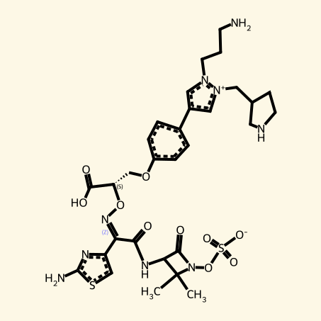 CC1(C)C(NC(=O)/C(=N\O[C@@H](COc2ccc(-c3cn(CCCN)[n+](CC4CCNC4)c3)cc2)C(=O)O)c2csc(N)n2)C(=O)N1OS(=O)(=O)[O-]